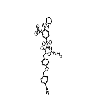 N#Cc1ccc(COc2ccc(CC(OC(N)=O)C(=O)NS(=O)(=O)c3ccc(NC4CCCC4)c([N+](=O)[O-])c3)cc2)cc1